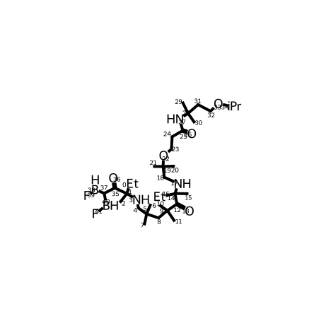 CCC(C)(NCC(C)(C)CC(C)(C)C(=O)C(C)(CC)NCC(C)(C)OCCC(=O)NC(C)(C)CCOC(C)C)C(=O)C(BF)BF